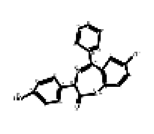 O=C1Nc2ccc(Cl)cc2C(c2ccccc2)=NC1c1ccc(O)cc1